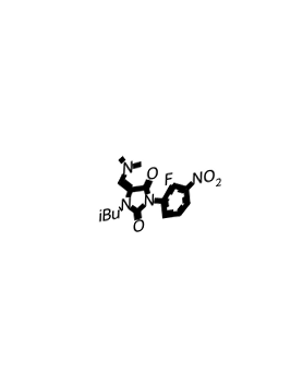 CCC(C)N1C(=O)N(c2cccc([N+](=O)[O-])c2F)C(=O)C1=CN(C)C